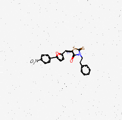 O=C1/C(=C\c2ccc(-c3ccc([N+](=O)[O-])cc3)o2)SC(=S)N1CCc1ccccc1